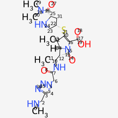 CNCc1cn(CC(=O)N[C@H](C)[C@H]2C(=O)N3C(C(=O)O)=C(S[C@@H]4CN[C@H](C(=O)N(C)C)C4)[C@H](C)[C@H]23)nn1